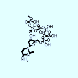 C=C1N=C(N)C=CN1[C@H]1C[C@@H](O)[C@@H](COP(=O)(O)OP(=O)(O)OP(=O)(O)OP(=O)(O)OP(=O)(O)OP(=O)(O)OC)O1